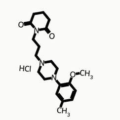 COc1ccc(C)cc1N1CCN(CCCN2C(=O)CCCC2=O)CC1.Cl